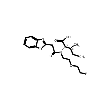 CC[C@H](C)[C@@H](C(=O)O)N(CCOCCF)C(=O)Cc1nc2ccccc2o1